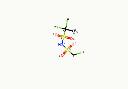 O=S(=O)(CF)NS(=O)(=O)C(F)(F)C(F)(F)F